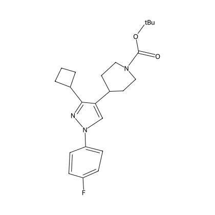 CC(C)(C)OC(=O)N1CCC(c2cn(-c3ccc(F)cc3)nc2C2CCC2)CC1